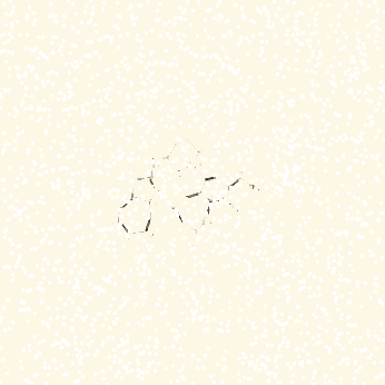 CC1C=CC=C(C(=O)N2CCC[C@@H](NC3=NC4C=CC=CC=C4O3)C2)C(N(N)/C=C\N)=N1